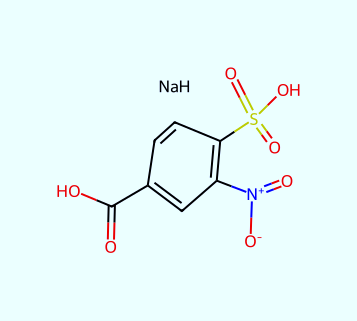 O=C(O)c1ccc(S(=O)(=O)O)c([N+](=O)[O-])c1.[NaH]